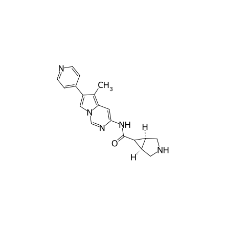 Cc1c(-c2ccncc2)cn2cnc(NC(=O)C3[C@H]4CNC[C@@H]34)cc12